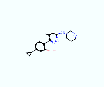 Cc1cc(N[C@@H]2CCCNC2)nnc1-c1ccc(C2CC2)cc1O